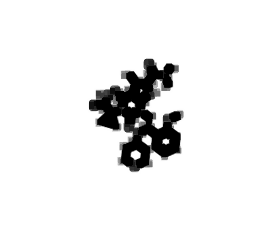 COc1ccccc1[C@H](Cn1c(=O)n(C2(C(=O)O)CC2)c(=O)c2c(C)c(C(=O)N(C)C)sc21)OC1CCOCC1